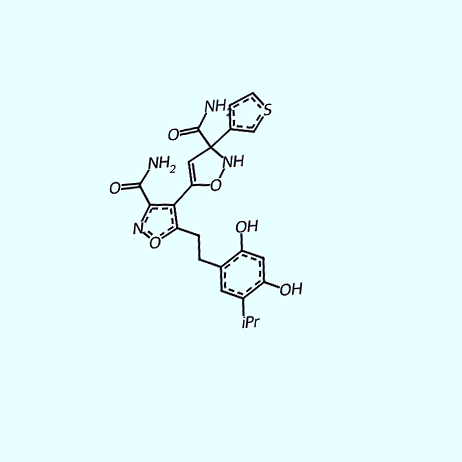 CC(C)c1cc(CCc2onc(C(N)=O)c2C2=CC(C(N)=O)(c3ccsc3)NO2)c(O)cc1O